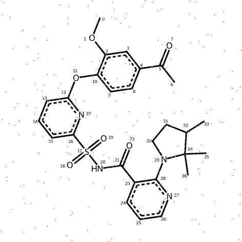 COc1cc(C(C)=O)ccc1Oc1cccc(S(=O)(=O)NC(=O)c2cccnc2N2CCC(C)C2(C)C)n1